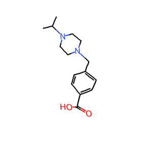 CC(C)N1CCN(Cc2ccc(C(=O)O)cc2)CC1